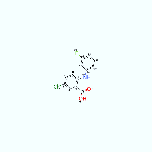 O=C(O)c1cc(Cl)ccc1Nc1cccc(F)c1